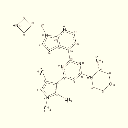 Cc1nn(C)c(C)c1-c1cc(N2CCOC[C@H]2C)nc(-c2ccnc3c2ccn3CC2CNC2)n1